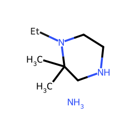 CCN1CCNCC1(C)C.N